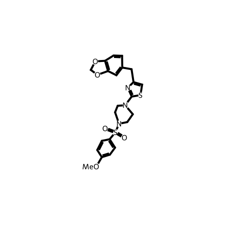 COc1ccc(S(=O)(=O)N2CCN(c3nc(Cc4ccc5c(c4)OCO5)cs3)CC2)cc1